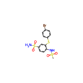 CS(=O)(=O)Nc1ccc(S(N)(=O)=O)cc1Sc1ccc(Br)cc1